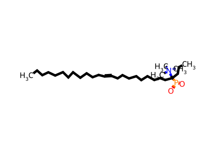 CCCCCCCCCCCCC=CCCCCCCCCCC(CCC)(P(=O)=O)[N+](C)(C)C